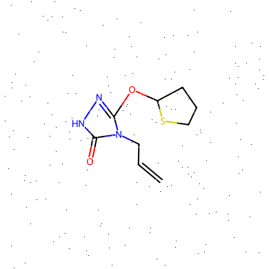 C=CCn1c(OC2CCCS2)n[nH]c1=O